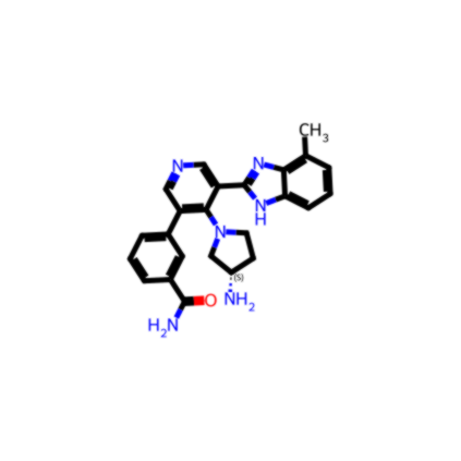 Cc1cccc2[nH]c(-c3cncc(-c4cccc(C(N)=O)c4)c3N3CC[C@H](N)C3)nc12